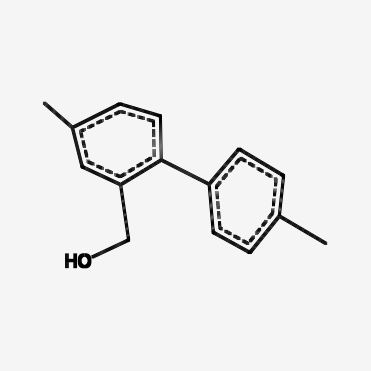 Cc1ccc(-c2ccc(C)cc2CO)cc1